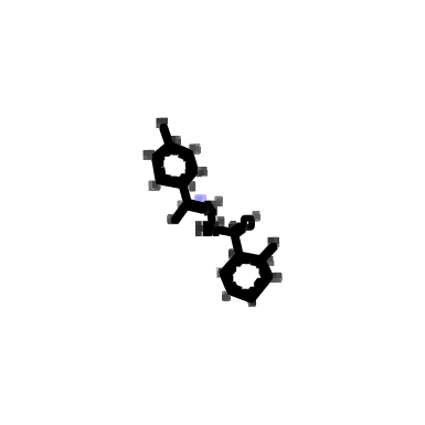 C/C(=N\NC(=O)c1ccccc1C)c1ccc(C)cc1